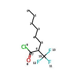 CCCCCCC(C(=O)Cl)C(F)(F)F